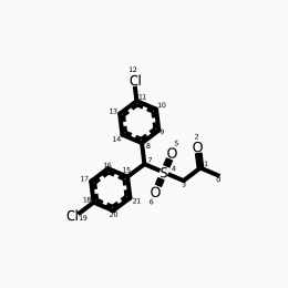 CC(=O)CS(=O)(=O)C(c1ccc(Cl)cc1)c1ccc(Cl)cc1